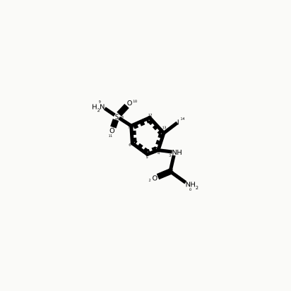 NC(=O)Nc1ccc(S(N)(=O)=O)cc1I